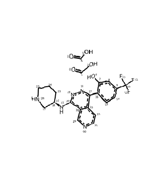 O=CO.O=CO.Oc1cc(C(F)(F)F)ccc1-c1nnc(N[C@@H]2CCCNC2)c2cnccc12